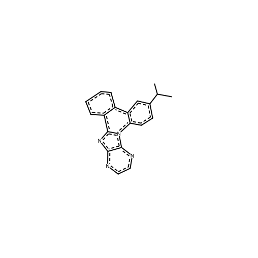 CC(C)c1ccc2c(c1)c1ccccc1c1nc3nccnc3n21